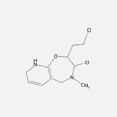 CN1CC2=C(NCC=C2)OC(CCCl)C1Cl